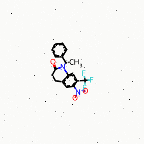 C[C@@H](c1ccccc1)N1C(=O)CCc2cc([N+](=O)[O-])c(C(F)(F)F)cc21